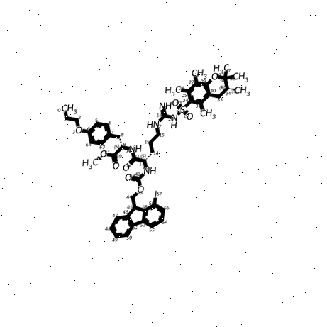 CCCOc1ccc(C[C@H](NC(=O)[C@H](CCCNC(=N)NS(=O)(=O)c2c(C)c(C)c3c(c2C)C[C@@H](C)C(C)(C)O3)NC(=O)OCC2c3ccccc3-c3cccc(I)c32)C(=O)OC)cc1